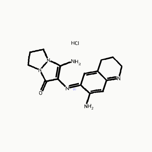 Cl.NC1=CC2=NCCCC2=C/C1=N\c1c(N)n2n(c1=O)CCC2